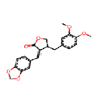 COc1ccc(CC2COC(=O)/C2=C\c2ccc3c(c2)OCO3)cc1OC